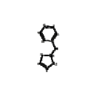 C1=NSN(Cc2ccccc2)C1